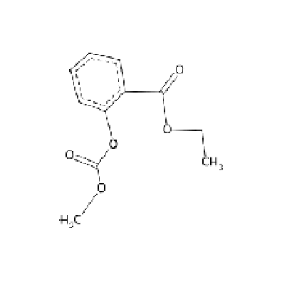 [CH2]OC(=O)Oc1ccccc1C(=O)OCC